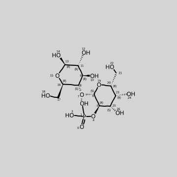 O=P(O)(O)O[C@H]1[C@H](O[C@H]2[C@H](O)[C@@H](O)[C@H](O)O[C@@H]2CO)O[C@H](CO)[C@H](O)[C@@H]1O